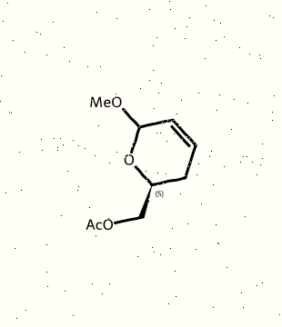 COC1C=CC[C@@H](COC(C)=O)O1